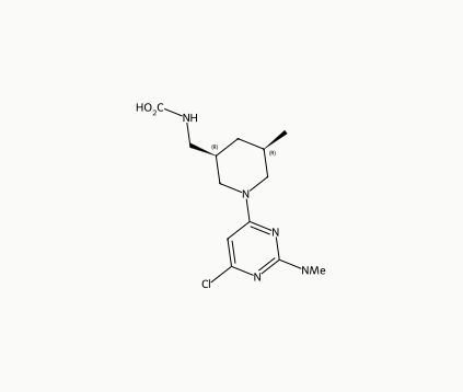 CNc1nc(Cl)cc(N2C[C@H](C)C[C@H](CNC(=O)O)C2)n1